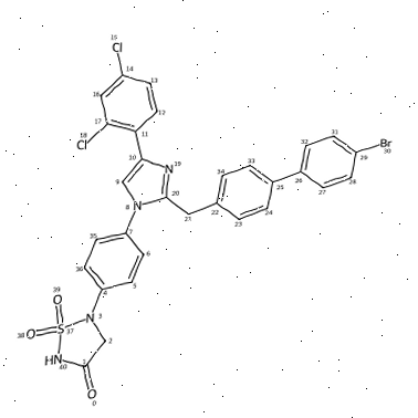 O=C1CN(c2ccc(-n3cc(-c4ccc(Cl)cc4Cl)nc3Cc3ccc(-c4ccc(Br)cc4)cc3)cc2)S(=O)(=O)N1